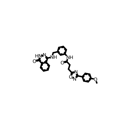 COc1ccc(-c2noc(CCC(=O)Nc3cccc(CNc4n[nH]c(=O)c5ccccc45)c3)n2)cc1